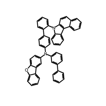 c1ccc(-c2cccc(N(c3ccc(-c4ccccc4-n4c5ccccc5c5c6ccccc6ccc54)cc3)c3ccc4oc5ccccc5c4c3)c2)cc1